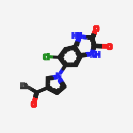 CCC(=O)c1ccn(-c2cc3[nH]c(=O)c(=O)[nH]c3cc2Cl)c1